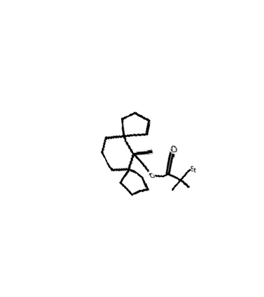 CCC(C)(C)C(=O)OC1(C)C2(CCCC2)CCCC12CCCC2